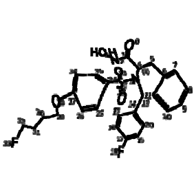 O=C(NO)[C@@H](Cc1ccccc1)N(Cc1ccc(F)cc1)S(=O)(=O)c1ccc(OCCCCF)cc1